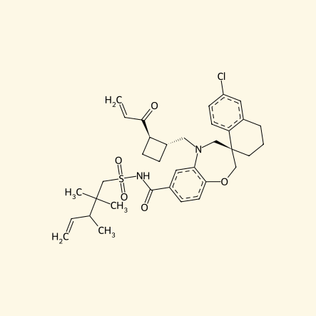 C=CC(=O)[C@@H]1CC[C@H]1CN1C[C@@]2(CCCc3cc(Cl)ccc32)COc2ccc(C(=O)NS(=O)(=O)CC(C)(C)C(C)C=C)cc21